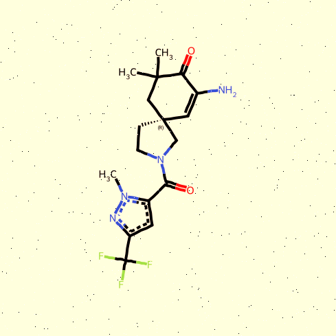 Cn1nc(C(F)(F)F)cc1C(=O)N1CC[C@]2(C=C(N)C(=O)C(C)(C)C2)C1